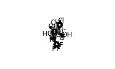 O=C(O)CO[C@@H]1[C@@H](n2cc(-c3cc(F)c(F)c(F)c3)nn2)[C@@H](O)[C@@H](CO)O[C@@H]1[S+]([O-])c1ccc(Cl)c(Cl)c1